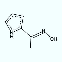 CC(=NO)c1ccc[nH]1